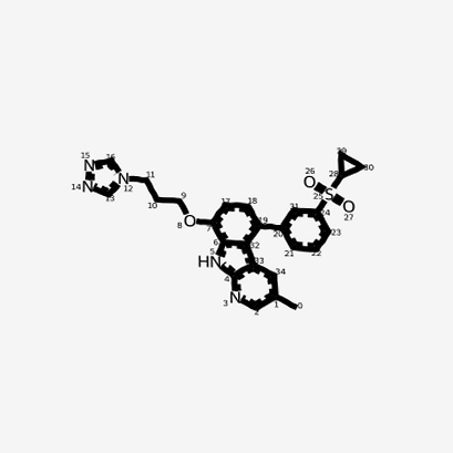 Cc1cnc2[nH]c3c(OCCCn4cnnc4)ccc(-c4cccc(S(=O)(=O)C5CC5)c4)c3c2c1